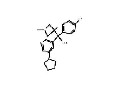 CCc1ccc(C(O)(c2cncc(N3CCCC3)c2)C2(C)CN(C)C2)cc1